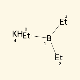 CCB(CC)CC.[KH]